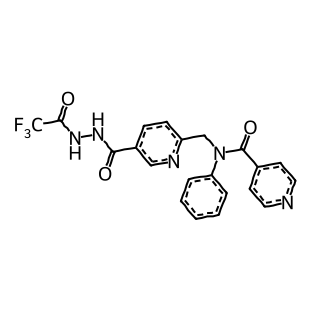 O=C(NNC(=O)C(F)(F)F)c1ccc(CN(C(=O)c2ccncc2)c2ccccc2)nc1